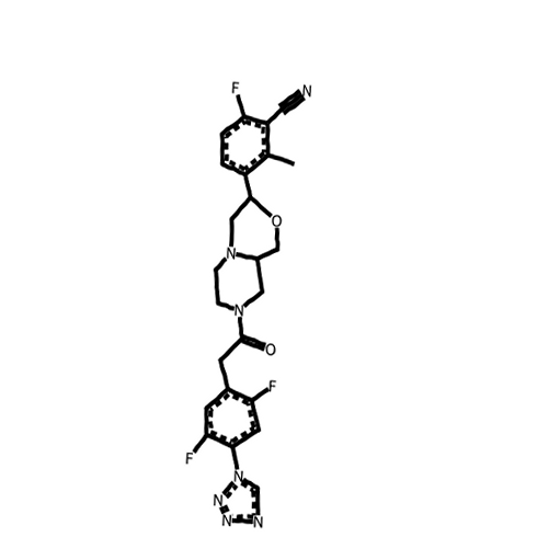 Cc1c(C2CN3CCN(C(=O)Cc4cc(F)c(-n5cnnn5)cc4F)CC3CO2)ccc(F)c1C#N